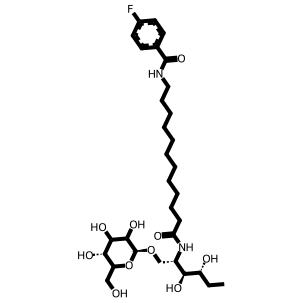 CC[C@@H](O)[C@@H](O)[C@H](CO[C@H]1OC(CO)[C@H](O)C(O)C1O)NC(=O)CCCCCCCCCCCNC(=O)c1ccc(F)cc1